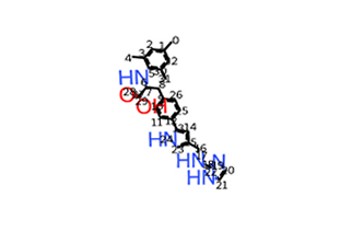 Cc1cc(C)c(NC(Cc2ccc(-c3cc(CNc4ncc[nH]4)c[nH]3)cc2)C(=O)O)c(C)c1